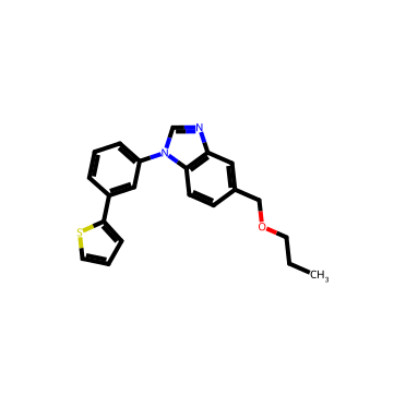 CCCOCc1ccc2c(c1)ncn2-c1cccc(-c2cccs2)c1